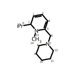 CC(C)C1C=CC=C(CN2CCCCC2)N1C